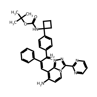 C=C(/C(=C\c1c(N)ccn2c(-c3ncccn3)nnc12)c1ccccc1)c1ccc(C2(NC(=O)OC(C)(C)C)CCC2)cc1